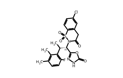 Cc1ccc(F)c(C(C)[C@@H](c2n[nH]c(=O)o2)N2C(=O)Cc3cc(Cl)ccc3S2(=O)=O)c1C